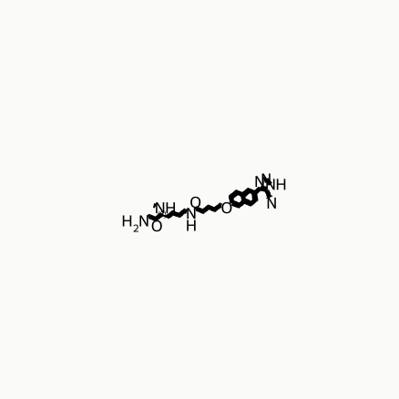 CN[C@@H](CCCCNC(=O)CCCCOc1ccc2cc(-c3nn[nH]c3C#N)ccc2c1)C(=O)CN